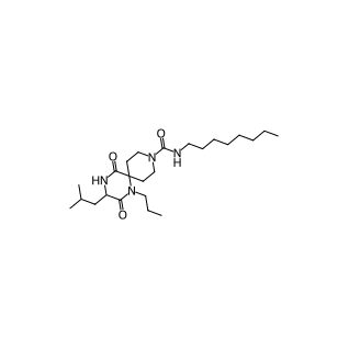 CCCCCCCCNC(=O)N1CCC2(CC1)C(=O)NC(CC(C)C)C(=O)N2CCC